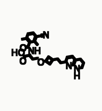 Cc1ccc(C#N)c(C)c1C(=O)NC(CCOC1CC(CCc2ccc3c(n2)NCCC3)C1)C(=O)O